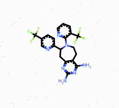 Nc1nc(N)c2c(n1)CC(c1ccc(C(F)(F)F)cn1)N(c1ncccc1C(F)(F)F)CC2